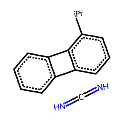 CC(C)c1cccc2c1-c1ccccc1-2.N=C=N